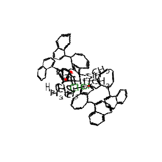 CC1=CC2=C(C=CC=CC2c2cccc3ccccc23)[C]12[SiH](C)[C]1(C(C)=CC3=C1C=CC=CC3c1cccc3ccccc13)[Hf]21([Cl])([Cl])[C]2(C(C)=CC3=C2C=CC=CC3c2cccc3ccccc23)[SiH](C)[C]12C(C)=CC1=C2C=CC=CC1c1cccc2ccccc12